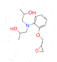 CC(O)CN(CC(C)O)c1ccccc1OCC1CO1